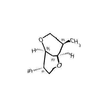 CC(C)[C@H]1CO[C@H]2[C@@H]1OC[C@H]2C